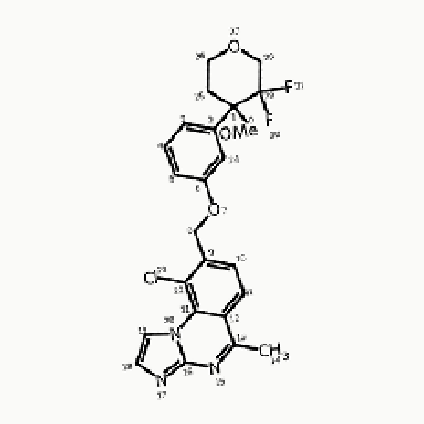 COC1(c2cccc(OCc3ccc4c(C)nc5nccn5c4c3Cl)c2)CCOCC1(F)F